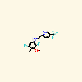 COc1c(C)c(F)cc(NCCc2ccc(C(F)(F)F)cn2)c1F